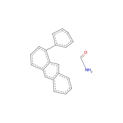 NC=O.c1ccc(-c2cccc3cc4ccccc4cc23)cc1